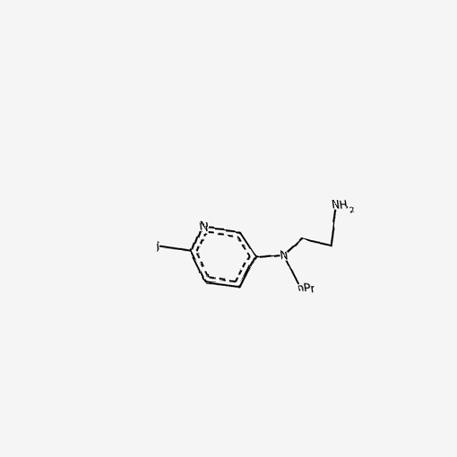 CCCN(CCN)c1ccc(I)nc1